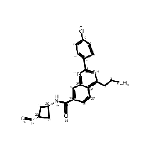 CCCc1nc(-c2ccc(Cl)cc2)nc2cc(C(=O)N[C@H]3C[C@@H](C=O)C3)ccc12